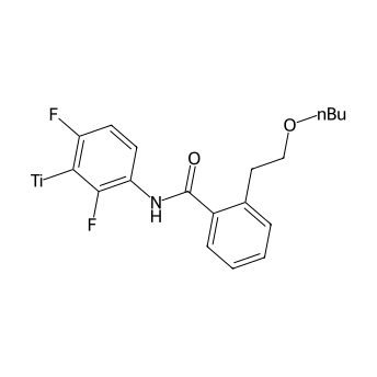 CCCCOCCc1ccccc1C(=O)Nc1ccc(F)[c]([Ti])c1F